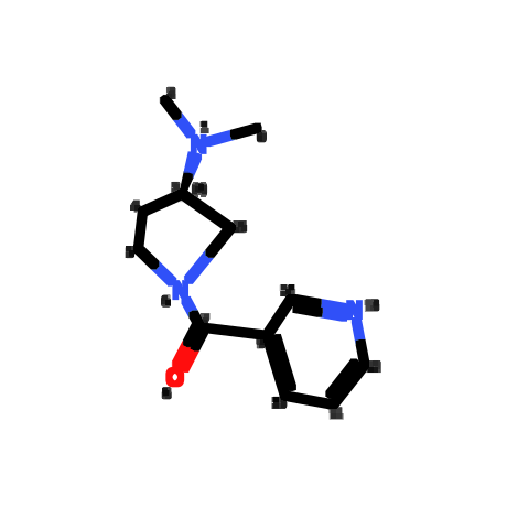 CN(C)[C@@H]1CCN(C(=O)c2cccnc2)C1